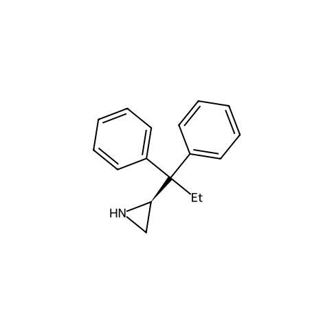 CCC(c1ccccc1)(c1ccccc1)[C@H]1CN1